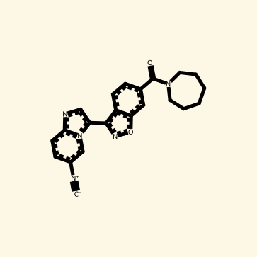 [C-]#[N+]c1ccc2ncc(-c3noc4cc(C(=O)N5CCCCCC5)ccc34)n2c1